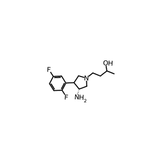 CC(O)CCN1CC(c2cc(F)ccc2F)[C@@H](N)C1